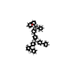 O=P1(c2ccccc2)N(c2ccccc2)c2ccc(-c3ccc(N(c4ccc(-c5ccccc5)cc4)c4ccc(-c5cccc6oc7ccccc7c56)cc4)cc3)cc2N1c1ccccc1